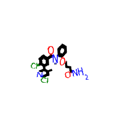 Cc1cc(Cl)ncc1-c1cc(C(=O)N(C)c2ccccc2OCCCC(N)=O)ccc1Cl